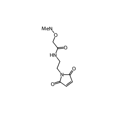 CNOCC(=O)NCCN1C(=O)C=CC1=O